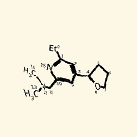 CCc1cc([C@H]2CCCO2)cc(CN(C)C)n1